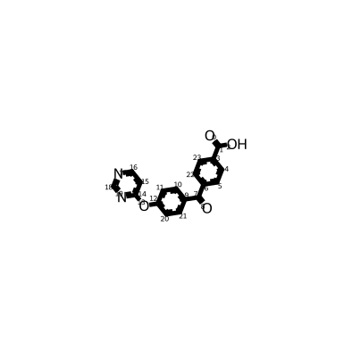 O=C(O)c1ccc(C(=O)c2ccc(Oc3ccncn3)cc2)cc1